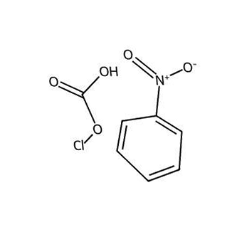 O=C(O)OCl.O=[N+]([O-])c1ccccc1